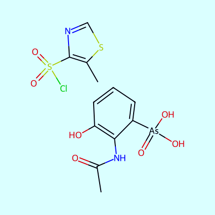 CC(=O)Nc1c(O)cccc1[As](=O)(O)O.Cc1scnc1S(=O)(=O)Cl